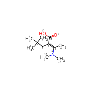 CC(=C(CC(C)(C)C)C(=O)O)N(C)C